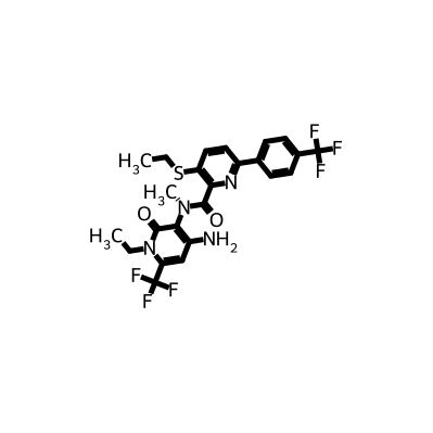 CCSc1ccc(-c2ccc(C(F)(F)F)cc2)nc1C(=O)N(C)c1c(N)cc(C(F)(F)F)n(CC)c1=O